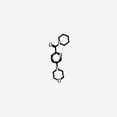 O=C(c1ccc(N2CCOCC2)cn1)N1CCCCC1